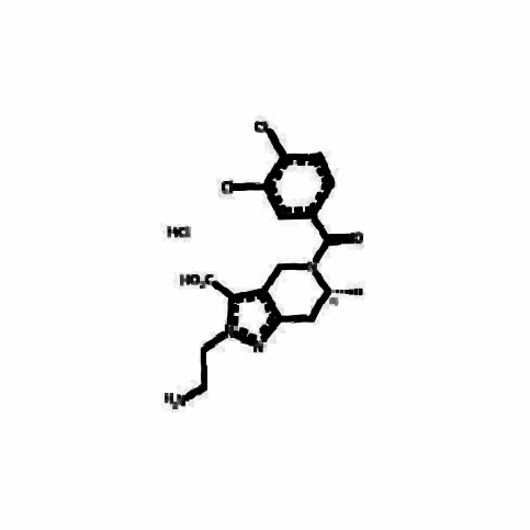 C[C@@H]1Cc2nn(CCN)c(C(=O)O)c2CN1C(=O)c1ccc(Cl)c(Cl)c1.Cl